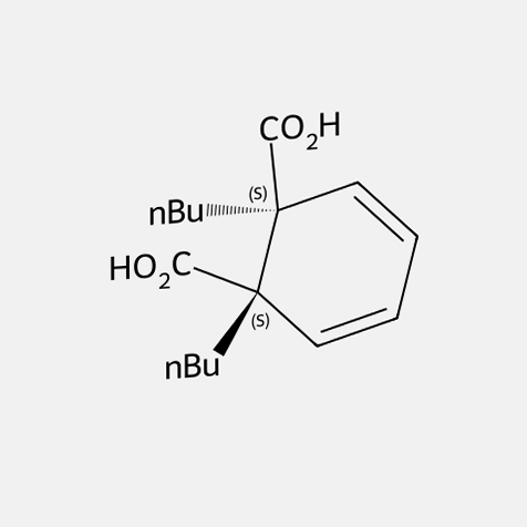 CCCC[C@]1(C(=O)O)C=CC=C[C@]1(CCCC)C(=O)O